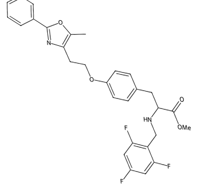 COC(=O)C(Cc1ccc(OCCc2nc(-c3ccccc3)oc2C)cc1)NCc1c(F)cc(F)cc1F